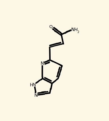 NC(=O)C=Cc1ccc2cn[nH]c2n1